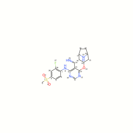 CS(=O)(=O)c1ccc(Nc2ncnc(OC3CC4CCC(C3)N4)c2C=N)c(F)c1